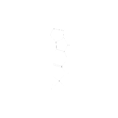 CC(C)(C)OC(=O)OC1CC2CCCN2C1